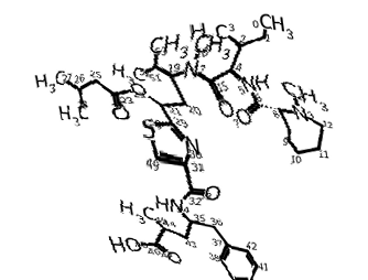 CCC(C)C(NC(=O)[C@H]1CCCCN1C)C(=O)N(C)C(CC(OC(=O)CC(C)C)c1nc(C(=O)NC(Cc2ccccc2)CC(C)C(=O)O)cs1)C(C)C